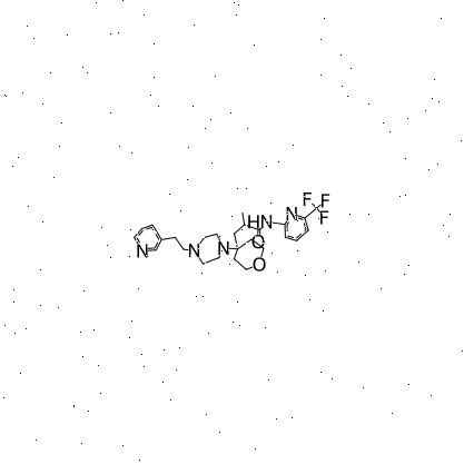 CC(CC1(N2CCN(CCc3cccnc3)CC2)CCOCC1)C(=O)Nc1cccc(C(F)(F)F)n1